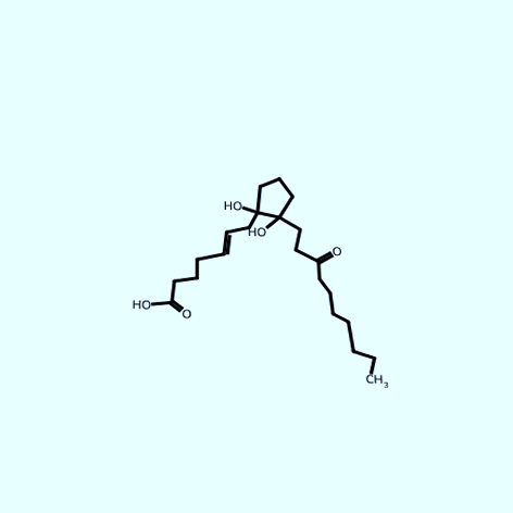 CCCCCCCC(=O)CCC1(O)CCCC1(O)CC=CCCCC(=O)O